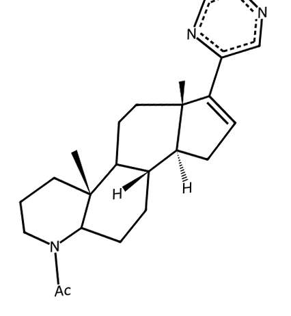 CC(=O)N1CCC[C@]2(C)C3CC[C@]4(C)C(c5cnccn5)=CC[C@H]4[C@@H]3CCC12